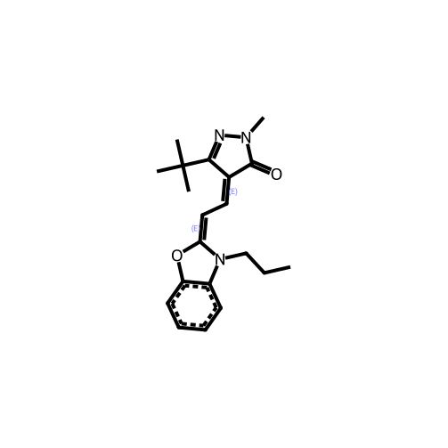 CCCN1/C(=C\C=C2\C(=O)N(C)N=C2C(C)(C)C)Oc2ccccc21